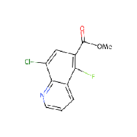 COC(=O)c1cc(Cl)c2ncccc2c1F